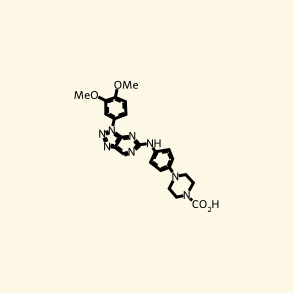 COc1ccc(-n2nnc3cnc(Nc4ccc(N5CCN(C(=O)O)CC5)cc4)nc32)cc1OC